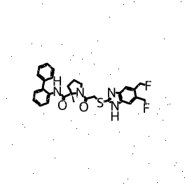 C[C@@]1(C(=O)Nc2ccccc2-c2ccccc2)CCCN1C(=O)CSc1nc2cc(CF)c(CF)cc2[nH]1